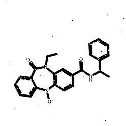 CCN1C(=O)c2ccccc2[S+]([O-])c2ccc(C(=O)NC(C)c3ccccc3)cc21